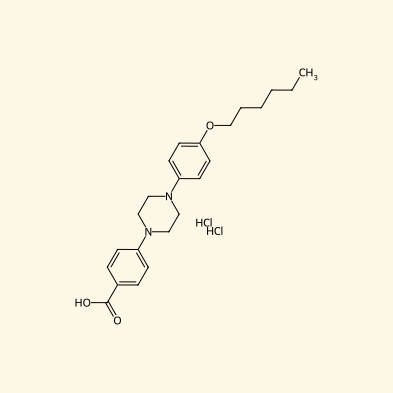 CCCCCCOc1ccc(N2CCN(c3ccc(C(=O)O)cc3)CC2)cc1.Cl.Cl